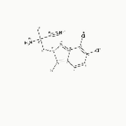 Cc1c2ccc(Cl)c(Cl)c2nn1CC(C)(N)C#N